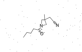 CCCC[S+]([O-])N1CC(C)(CC#N)C1